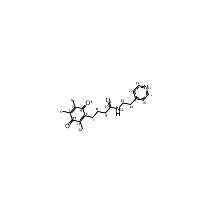 CC1=C(C)C(=O)C(CCCC(=O)NCCc2ccncc2)=C(C)C1=O